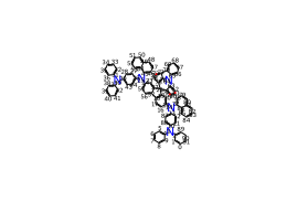 C1=CC(N(c2ccccc2)c2ccc(N(c3ccc4c(c3)C3(c5cc(N(c6ccc(N(c7ccccc7)c7ccccc7)cc6)c6cccc7ccccc67)ccc5-4)c4ccccc4-n4c5ccccc5c5cccc3c54)c3cccc4ccccc34)cc2)=CCC1